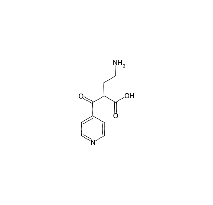 NCCC(C(=O)O)C(=O)c1ccncc1